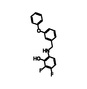 Oc1c(NCc2cccc(Oc3ccccc3)c2)ccc(F)c1F